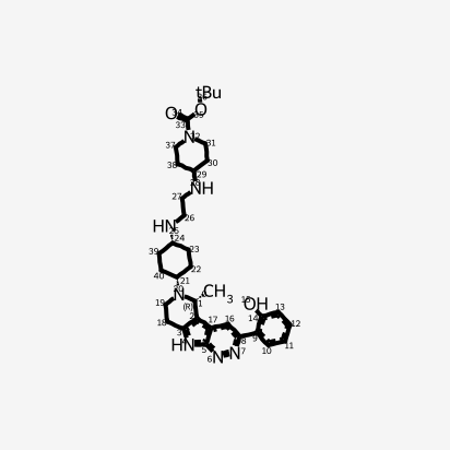 C[C@@H]1c2c([nH]c3nnc(-c4ccccc4O)cc23)CCN1[C@H]1CC[C@@H](NCCNC2CCN(C(=O)OC(C)(C)C)CC2)CC1